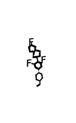 C=C[C@H]1CC[C@H](c2cc(F)c(-c3ccc4cc(F)ccc4c3)c(F)c2)CC1